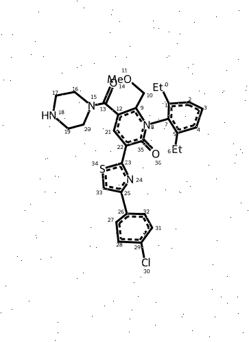 CCc1cccc(CC)c1-n1c(COC)c(C(=O)N2CCNCC2)cc(-c2nc(-c3ccc(Cl)cc3)cs2)c1=O